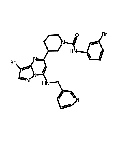 O=C(Nc1cccc(Br)c1)N1CCCC(c2cc(NCc3cccnc3)n3ncc(Br)c3n2)C1